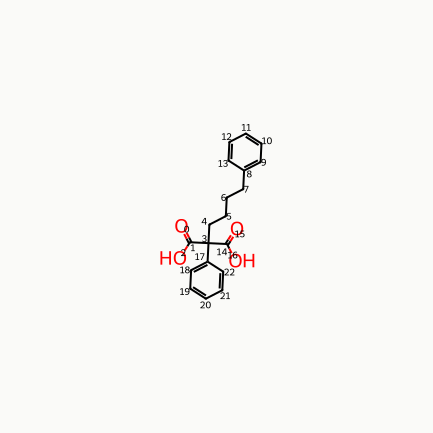 O=C(O)C(CCCCc1ccccc1)(C(=O)O)c1ccccc1